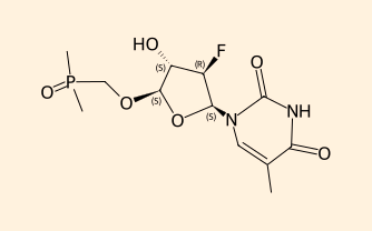 Cc1cn([C@H]2O[C@@H](OCP(C)(C)=O)[C@H](O)[C@H]2F)c(=O)[nH]c1=O